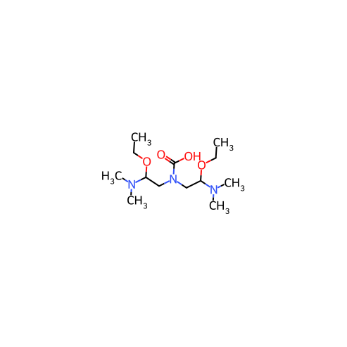 CCOC(CN(CC(OCC)N(C)C)C(=O)O)N(C)C